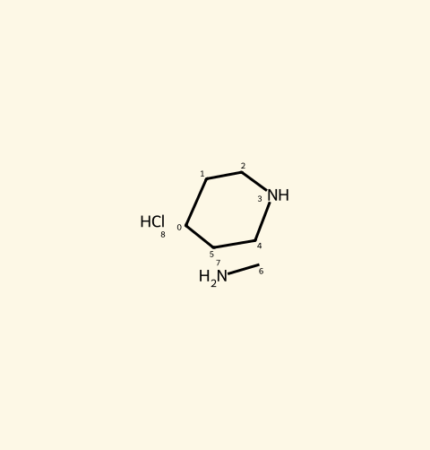 C1CCNCC1.CN.Cl